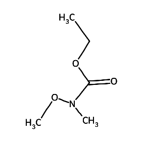 CCOC(=O)N(C)OC